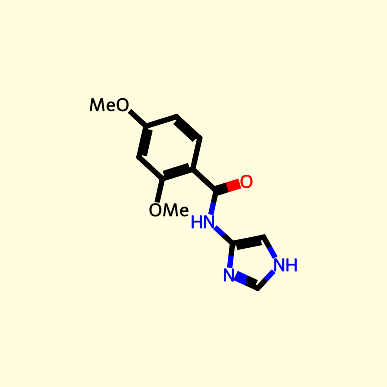 COc1ccc(C(=O)Nc2c[nH]cn2)c(OC)c1